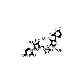 COC1C(O[P@@](=O)(S)OC[C@H]2O[C@@H](n3ccc(=O)[nH]c3=O)C(O)C2O)[C@@H](CO)O[C@H]1n1ccc(=O)[nH]c1=O